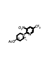 CC(=O)O[C@H]1CCN(c2ncc(C(F)(F)F)cc2[N+](=O)[O-])[C@H](C)C1